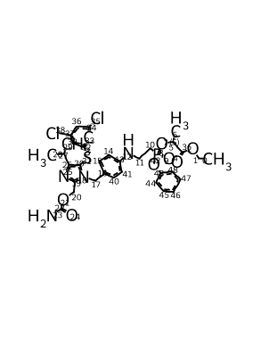 CCOC(=O)[C@H](C)OP(=O)(CCNc1ccc(Cn2c(COC(N)=O)nc(C(C)C)c2Sc2cc(Cl)cc(Cl)c2)cc1)Oc1ccccc1